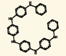 c1ccc(Nc2ccc(Nc3ccc(Nc4ccc(Nc5ccc(Nc6ccccc6)cc5)cc4)cc3)cc2)cc1